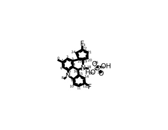 Cc1cc2c3c(c1)N(C)c1ccc(F)cc1C3N(C)c1ccc(F)cc1-2.O=S(=O)(O)O